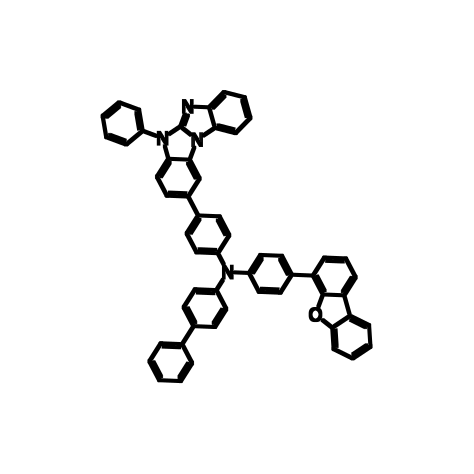 c1ccc(-c2ccc(N(c3ccc(-c4ccc5c(c4)n4c6ccccc6nc4n5-c4ccccc4)cc3)c3ccc(-c4cccc5c4oc4ccccc45)cc3)cc2)cc1